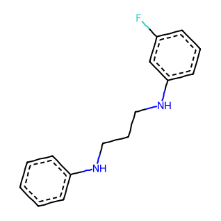 Fc1cccc(NCCCNc2ccccc2)c1